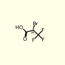 O=C(O)[C@@H](Br)C(F)(F)F